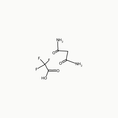 NC(=O)CC(N)=O.O=C(O)C(F)(F)F